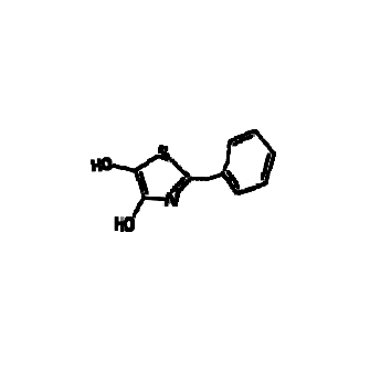 Oc1nc(-c2ccccc2)sc1O